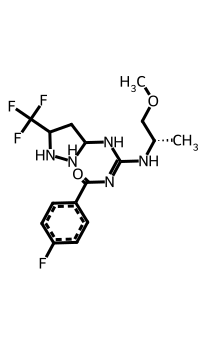 COC[C@H](C)N/C(=N/C(=O)c1ccc(F)cc1)NC1CC(C(F)(F)F)NN1